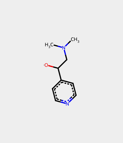 CN(C)CC([O])c1ccncc1